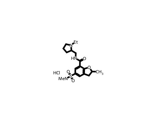 CCN1CCCC1CNC(=O)c1cc(S(=O)(=O)NC)cc2c1OC(C)C2.Cl